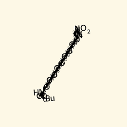 CC(C)(C)OC(=O)NCCOCCOCCOCCOCCOCCOCCOCCOCCOc1ccc([N+](=O)[O-])cn1